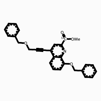 CO[12C](=O)c1cc(C#CCOCc2ccccc2)c2cccc(OCc3ccccc3)c2n1